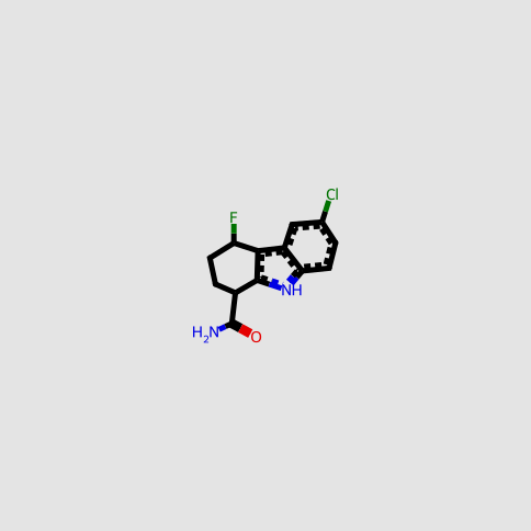 NC(=O)C1CCC(F)c2c1[nH]c1ccc(Cl)cc21